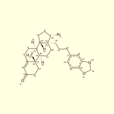 CC(=O)[C@H]1CC[C@H]2[C@@H]3CCC4=CC(=O)CC[C@@]4(C)[C@@H]3CC[C@]12CCCc1ccc2c(c1)OCO2